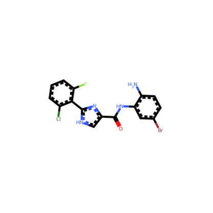 Nc1ccc(Br)cc1NC(=O)c1c[nH]c(-c2c(F)cccc2Cl)n1